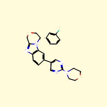 Fc1cccc([C@H]2COCc3nc4ccc(-c5cnc(N6CCOCC6)nc5)cc4n32)c1